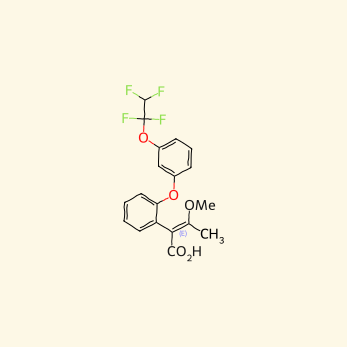 CO/C(C)=C(/C(=O)O)c1ccccc1Oc1cccc(OC(F)(F)C(F)F)c1